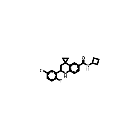 O=C(NC1CCC1)c1ccc2c(c1)C1(CC1)CC(c1cc(Cl)ccc1F)N2